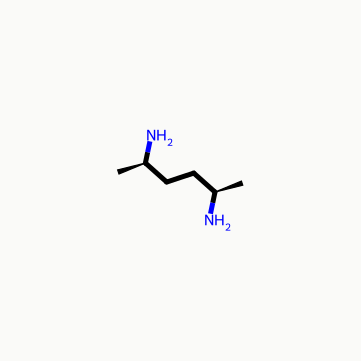 C[C@@H](N)CC[C@@H](C)N